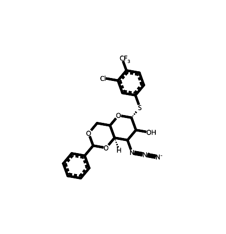 [N-]=[N+]=NC1C(O)[C@@H](Sc2ccc(C(F)(F)F)c(Cl)c2)OC2COC(c3ccccc3)O[C@@H]21